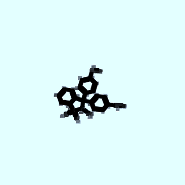 COc1ccc(C2(c3ccc(OC)cc3)c3ccccc3S(=O)(=O)N2C(C)=O)cc1